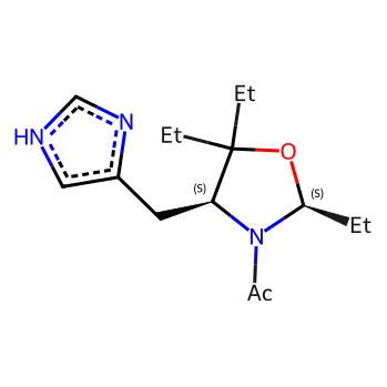 CC[C@@H]1OC(CC)(CC)[C@H](Cc2c[nH]cn2)N1C(C)=O